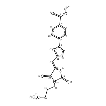 CC(C)OC(=O)c1ccc(-c2ccc(/C=C3\SC(=S)N(CCCC(=O)O)C3=O)o2)cc1